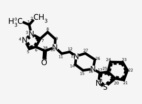 CC(C)n1ncc2c1CCN(CCN1CCN(c3nsc4ccccc34)CC1)C2=O